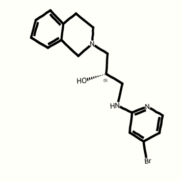 O[C@@H](CNc1cc(Br)ccn1)CN1CCc2ccccc2C1